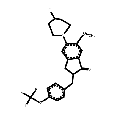 COc1cc2c(cc1N1CCC(F)CC1)CC(Cc1ccc(SC(F)(F)F)cc1)C2=O